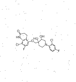 O=C1CCc2c(OCC3(O)CCN(c4ccc(F)cc4Cl)CC3O)cc(F)c(Cl)c2N1